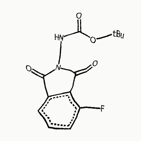 CC(C)(C)OC(=O)NN1C(=O)c2cccc(F)c2C1=O